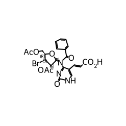 CC(=O)OC[C@H]1O[C@@H](N(C(=O)c2ccccc2)c2nc(=O)[nH]cc2C=CC(=O)O)[C@H](OC(C)=O)[C@H]1Br